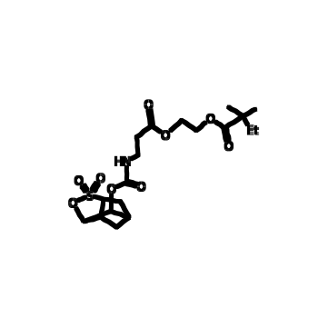 CCC(C)(C)C(=O)OCCOC(=O)CCNC(=O)OC1C2CC3C1OS(=O)(=O)C3C2